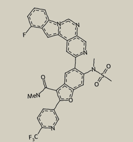 CNC(=O)c1c(-c2ccc(C(F)(F)F)nc2)oc2cc(N(C)S(C)(=O)=O)c(-c3cc4c(cn3)ncn3c5cccc(F)c5cc43)cc12